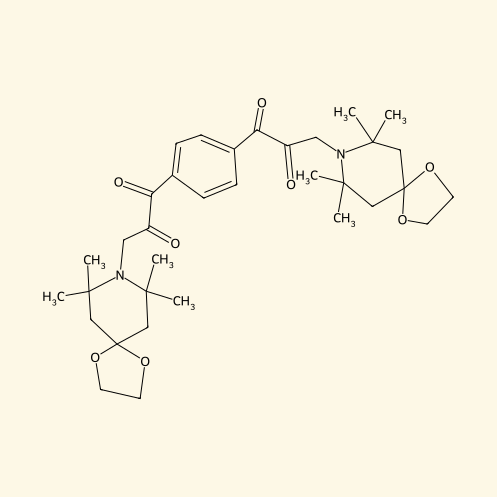 CC1(C)CC2(CC(C)(C)N1CC(=O)C(=O)c1ccc(C(=O)C(=O)CN3C(C)(C)CC4(CC3(C)C)OCCO4)cc1)OCCO2